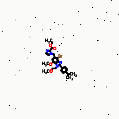 CCOC(=O)c1nccn1Cc1cc(OC)c2c(nc(-c3ccc(C(C)C)cc3)n2CCOC)c1Br